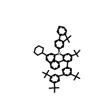 CC(C)(C)c1cc(-c2cc(C(C)(C)C)cc(C(C)(C)C)c2)cc(-c2cc(C(C)(C)C)cc(N(c3cccc(C4CCCCC4)c3)c3ccc4c(c3)C(C)(C)c3ccccc3-4)c2-c2ccccc2)c1